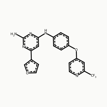 Nc1nc(Nc2ccc(Oc3ccnc(C(F)(F)F)c3)cc2)cc(-c2ccoc2)n1